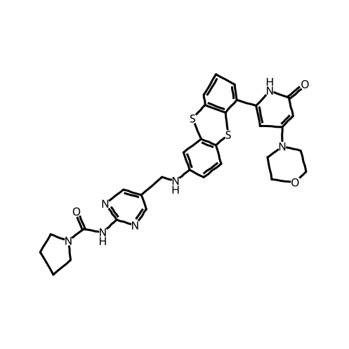 O=C(Nc1ncc(CNc2ccc3c(c2)Sc2cccc(-c4cc(N5CCOCC5)cc(=O)[nH]4)c2S3)cn1)N1CCCC1